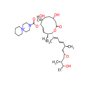 CC[C@H](O)[C@@H](C)[C@H]1O[C@@H]1C[C@H](C)/C=C/C=C(\C)[C@H]1OC(=O)C[C@H](O)CC[C@@](C)(O)[C@@H](OC(=O)N2CC[N+]3(CCCCC3)CC2)/C=C/[C@@H]1C